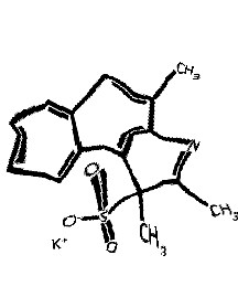 CC1=Nc2c(C)cc3ccccc3c2C1(C)S(=O)(=O)[O-].[K+]